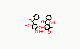 COc1c(O)cc(C(=O)c2ccccc2)c(O)c1C.COc1cc(O)c(C(=O)c2ccccc2)cc1O